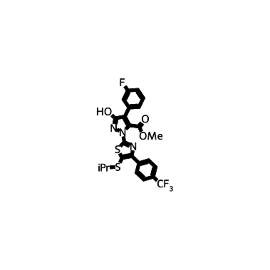 COC(=O)c1c(-c2cccc(F)c2)c(O)nn1-c1nc(-c2ccc(C(F)(F)F)cc2)c(SC(C)C)s1